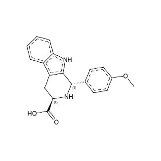 COc1ccc([C@@H]2N[C@@H](C(=O)O)Cc3c2[nH]c2ccccc32)cc1